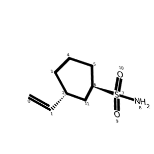 C=C[C@@H]1CCC[C@@H](S(N)(=O)=O)C1